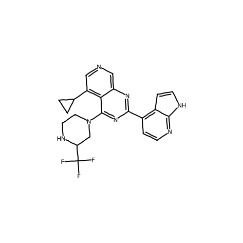 FC(F)(F)C1CN(c2nc(-c3ccnc4[nH]ccc34)nc3cncc(C4CC4)c23)CCN1